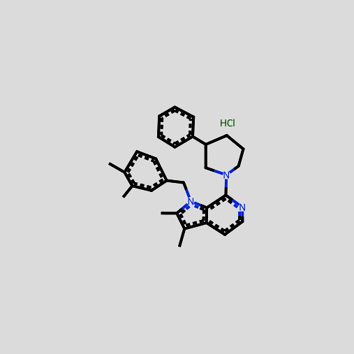 Cc1ccc(Cn2c(C)c(C)c3ccnc(N4CCCC(c5ccccc5)C4)c32)cc1C.Cl